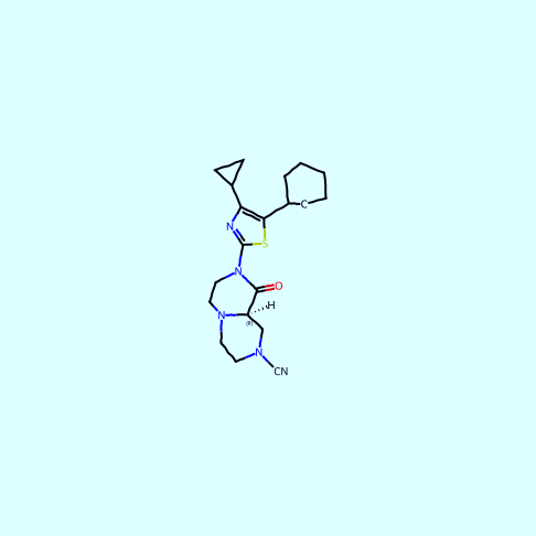 N#CN1CCN2CCN(c3nc(C4CC4)c(C4CCCCC4)s3)C(=O)[C@H]2C1